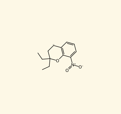 CCC1(CC)C[C]c2cccc([N+](=O)[O-])c2O1